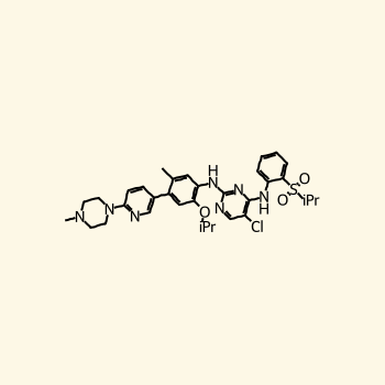 Cc1cc(Nc2ncc(Cl)c(Nc3ccccc3S(=O)(=O)C(C)C)n2)c(OC(C)C)cc1-c1ccc(N2CCN(C)CC2)nc1